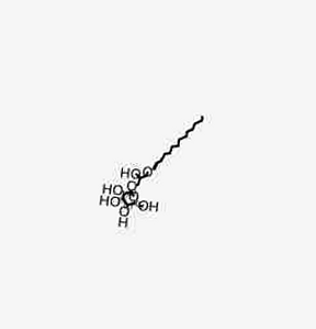 CCCCCCCCCCCCC=COCC(O)CO[C@H]1O[C@H](CO)[C@H](O)[C@H](O)[C@H]1O